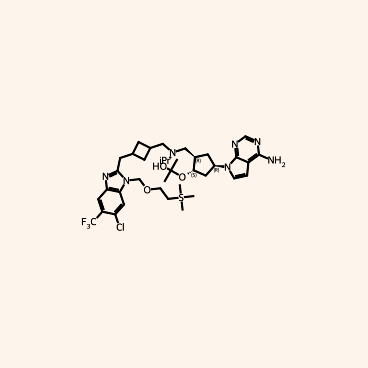 CC(C)N(CC1CC(Cc2nc3cc(C(F)(F)F)c(Cl)cc3n2COCCS(C)(C)C)C1)C[C@H]1C[C@@H](n2ccc3c(N)ncnc32)C[C@@H]1OC(C)(C)O